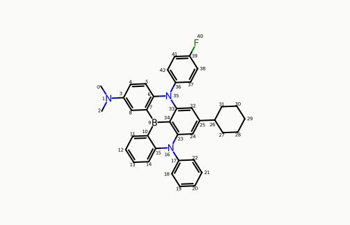 CN(C)c1ccc2c(c1)B1c3ccccc3N(c3ccccc3)c3cc(C4CCCCC4)cc(c31)N2c1ccc(F)cc1